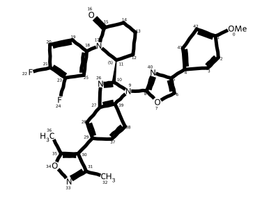 COc1ccc(-c2coc(-n3c([C@@H]4CCCC(=O)N4c4ccc(F)c(F)c4)nc4cc(-c5c(C)noc5C)ccc43)n2)cc1